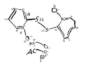 CC(=O)[O-].CC(=O)[O-].[Ba+2].[O-][n+]1ccccc1SSc1cccc[n+]1[O-]